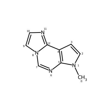 Cn1ccc2c1ncn1ccnc21